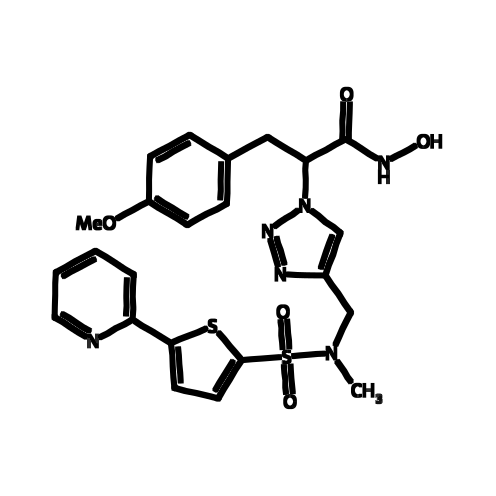 COc1ccc(CC(C(=O)NO)n2cc(CN(C)S(=O)(=O)c3ccc(-c4ccccn4)s3)nn2)cc1